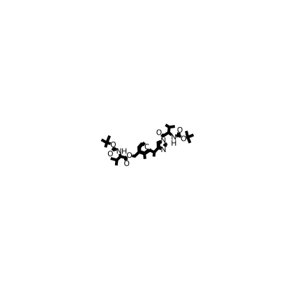 Cc1c(COC(=O)C(NC(=O)OC(C)(C)C)C(C)C)cccc1C(C)c1cn(C(=O)C(NC(=O)OC(C)(C)C)C(C)C)cn1